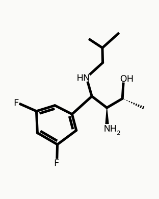 CC(C)CNC(c1cc(F)cc(F)c1)[C@H](N)[C@@H](C)O